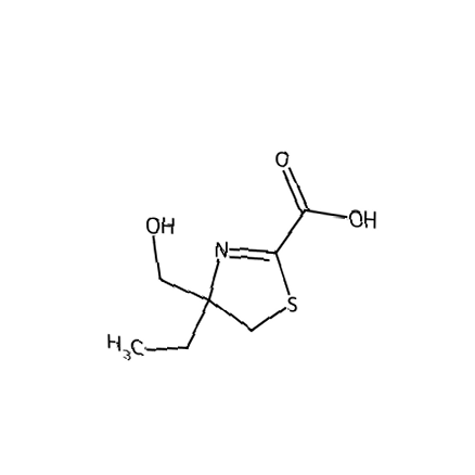 CCC1(CO)CSC(C(=O)O)=N1